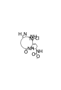 COC(=O)NC1C=C2NC(=O)CCCCC[C@H](N)c3nc(c(Cl)[nH]3)C2=CC1